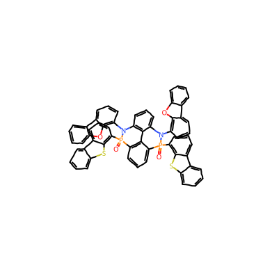 O=P1(c2cccc3c2sc2ccccc23)c2cccc3c2-c2c(cccc2N(c2cccc4c2oc2ccccc24)P3(=O)c2cccc3c2sc2ccccc23)N1c1cccc2c1oc1ccccc12